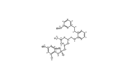 CNP(=O)(OCOC(COc1ccccc1CCc1cccc(OC)c1)CN(C)C)Oc1ccc(C(C)(C)C)cc1Cl